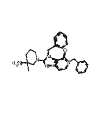 CC1(N)CCCN(c2nc3ccn(Cc4ccccc4)c(=O)c3n2Cc2ccccc2)C1